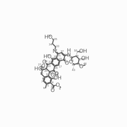 COC(=O)c1c(C)cc2c(c1O)[C@]1(O)C(=O)c3cc4c(c(O)c3C(=O)[C@]1(OC)[C@H](O)C2)/C(=N/CCCO)C=C(N[C@H]1O[C@@H](C)[C@H](OC)[C@@H](O)[C@H]1CO)C4=O